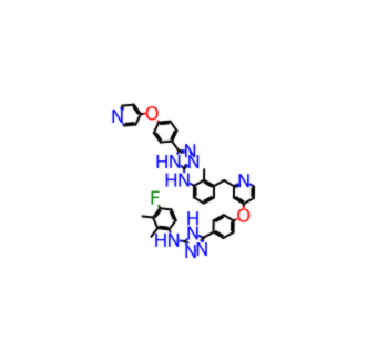 Cc1c(Cc2cc(Oc3ccc(-c4nnc(Nc5ccc(F)c(C)c5C)[nH]4)cc3)ccn2)cccc1Nc1nnc(-c2ccc(Oc3ccncc3)cc2)[nH]1